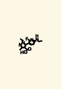 CCNc1ccc(-c2c(C(=O)O)c(C)nn2CC)c(F)n1